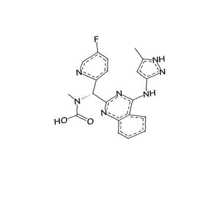 Cc1cc(Nc2nc([C@@H](c3ccc(F)cn3)N(C)C(=O)O)nc3ccccc23)n[nH]1